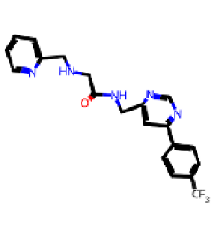 O=C(CNCc1ccccn1)NCc1cc(-c2ccc(C(F)(F)F)cc2)ncn1